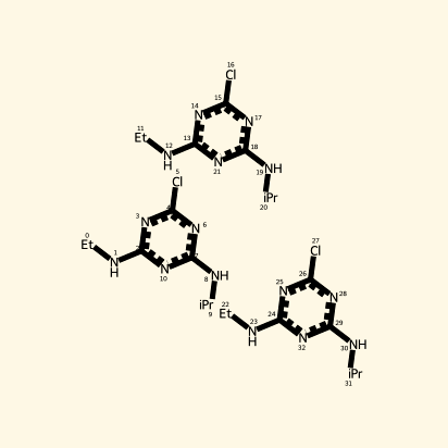 CCNc1nc(Cl)nc(NC(C)C)n1.CCNc1nc(Cl)nc(NC(C)C)n1.CCNc1nc(Cl)nc(NC(C)C)n1